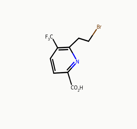 O=C(O)c1ccc(C(F)(F)F)c(CCBr)n1